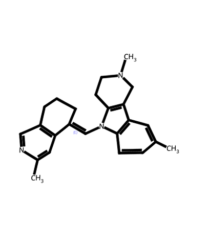 Cc1ccc2c(c1)c1c(n2/C=C2\CCCc3cnc(C)cc32)CCN(C)C1